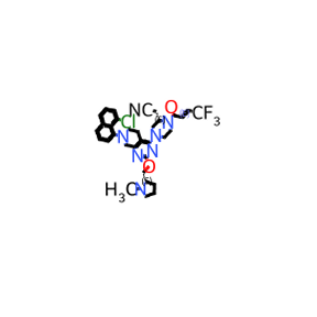 CN1CCC[C@H]1COc1nc2c(c(N3CCN(C(=O)/C=C/C(F)(F)F)[C@@H](CC#N)C3)n1)CCN(c1cccc3cccc(Cl)c13)C2